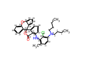 CCCCN(CCCC)c1ccc(C)c(Nc2cccc3c2C(=O)OC32c3ccccc3Oc3ccccc32)c1Cl